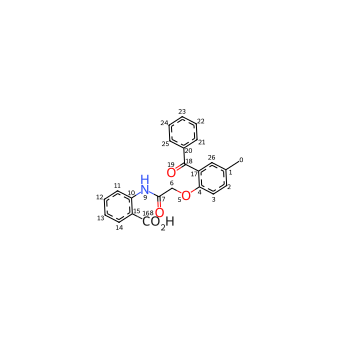 Cc1ccc(OCC(=O)Nc2ccccc2C(=O)O)c(C(=O)c2ccccc2)c1